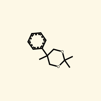 CC1(C)OCC(C)(c2ccccc2)CO1